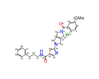 COc1ccc(Br)c(C(=O)N2CC3=C(C2)CN(c2ncc(C(=O)NCCCc4ccccc4)s2)C3)c1